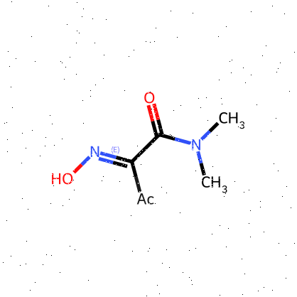 CC(=O)/C(=N\O)C(=O)N(C)C